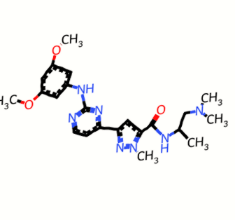 COc1cc(Nc2nccc(-c3cc(C(=O)NC(C)CN(C)C)n(C)n3)n2)cc(OC)c1